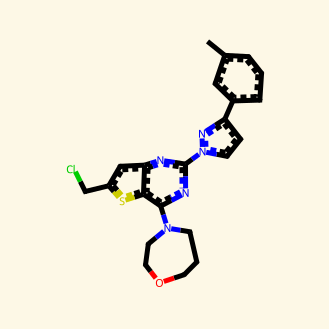 Cc1cccc(-c2ccn(-c3nc(N4CCCOCC4)c4sc(CCl)cc4n3)n2)c1